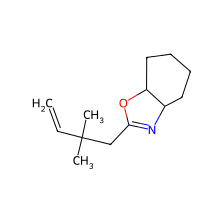 C=CC(C)(C)CC1=NC2CCCCC2O1